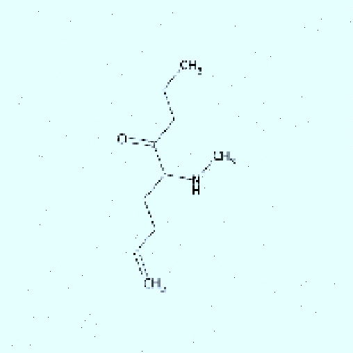 C=CCCC(NC)C(=O)CCC